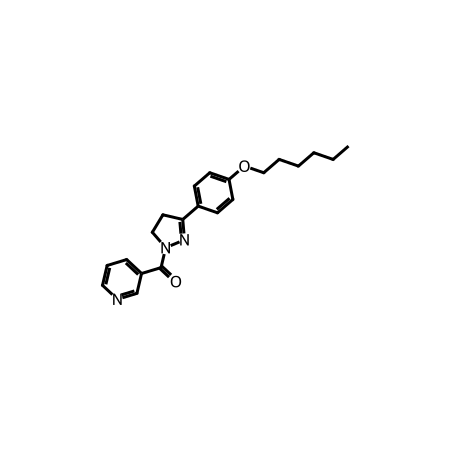 CCCCCCOc1ccc(C2=NN(C(=O)c3cccnc3)CC2)cc1